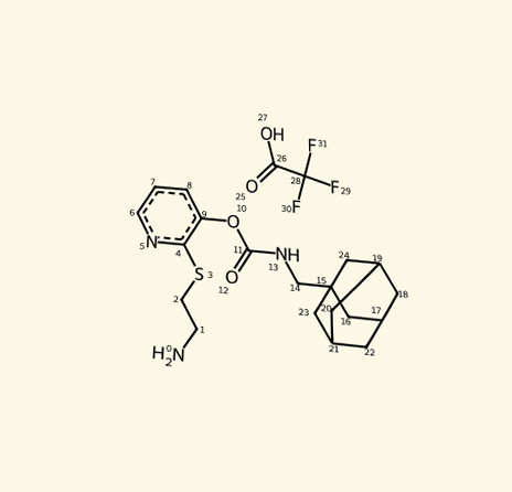 NCCSc1ncccc1OC(=O)NCC12CC3CC(CC(C3)C1)C2.O=C(O)C(F)(F)F